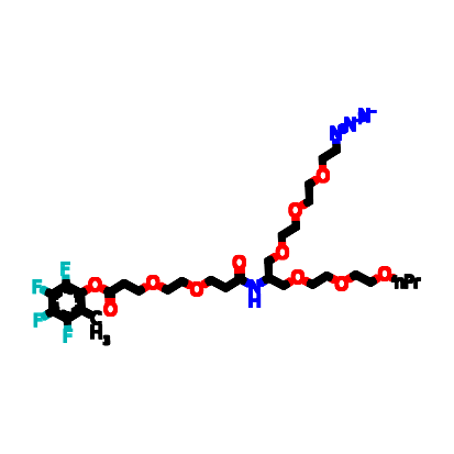 CCCOCCOCCOCC(COCCOCCOCCN=[N+]=[N-])NC(=O)CCOCCOCCC(=O)Oc1c(C)c(F)c(F)c(F)c1F